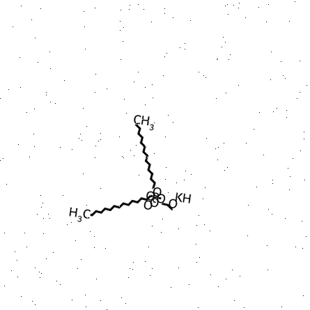 CCCCCCCCCCCCCCCCOP(=O)(OCC1CO1)OC(=O)CCCCCCCCCCCCC.[KH]